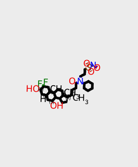 C[C@H](CCC(=O)N(CCCS(=O)(=O)N=O)C1CCCCC1)[C@H]1CCC2C3C(CC[C@@]21C)[C@@]1(C)CC(F)(F)[C@H](O)C[C@H]1C[C@@H]3O